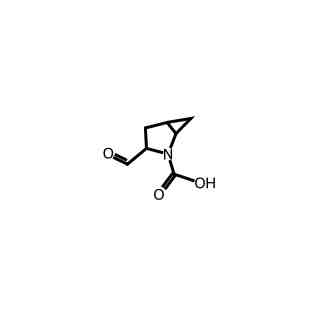 O=CC1CC2CC2N1C(=O)O